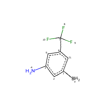 Bc1cc(N)cc(C(F)(F)F)c1